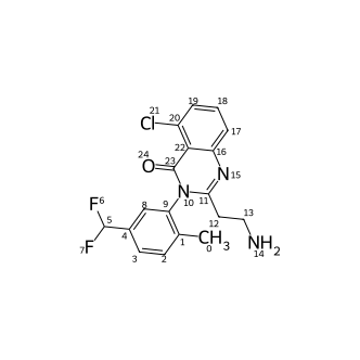 Cc1ccc(C(F)F)cc1-n1c(CCN)nc2cccc(Cl)c2c1=O